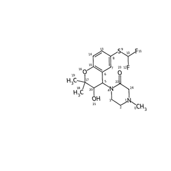 CN1CCN(C2c3cc(SC(F)F)ccc3OC(C)(C)C2O)C(=O)C1